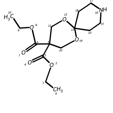 CCOC(=O)C1(C(=O)OCC)COC2(CCNCC2)OC1